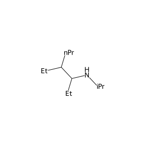 CCCC(CC)C(CC)NC(C)C